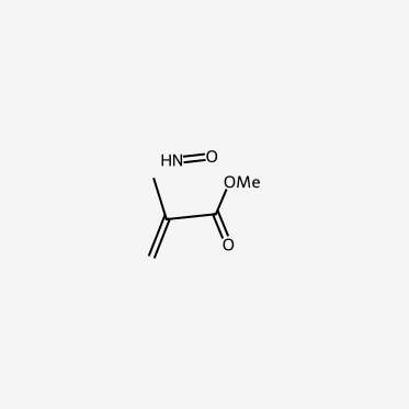 C=C(C)C(=O)OC.N=O